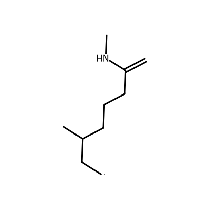 [CH2]CC(C)CCCC(=C)NC